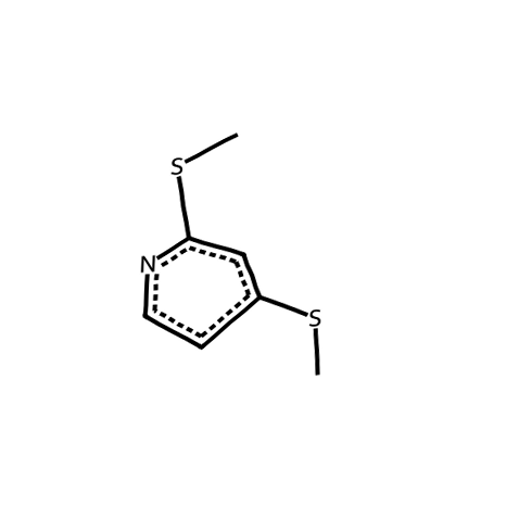 CSc1ccnc(SC)c1